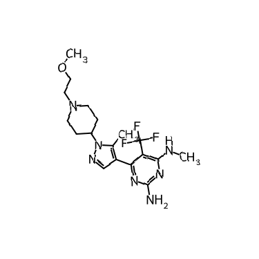 CNc1nc(N)nc(-c2cnn(C3CCN(CCOC)CC3)c2C)c1C(F)(F)F